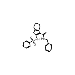 O=C(NCc1ccccc1)c1c(NS(=O)(=O)c2ccccc2)sc2c1CCCC2